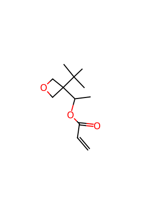 C=CC(=O)OC(C)C1(C(C)(C)C)COC1